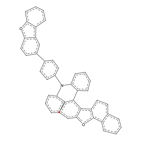 c1ccc(N(c2ccc(-c3ccc4oc5ccccc5c4c3)cc2)c2ccccc2-c2cccc3oc4c5ccccc5ccc4c23)cc1